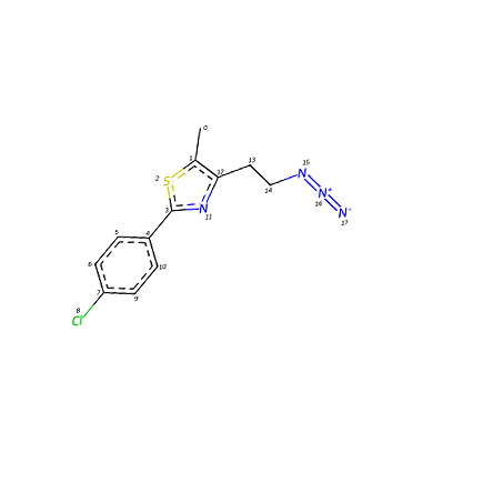 Cc1sc(-c2ccc(Cl)cc2)nc1CCN=[N+]=[N-]